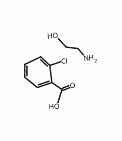 NCCO.O=C(O)c1ccccc1Cl